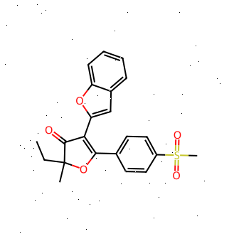 CCC1(C)OC(c2ccc(S(C)(=O)=O)cc2)=C(c2cc3ccccc3o2)C1=O